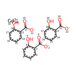 O=C([O-])c1ccccc1O.O=C([O-])c1ccccc1O.O=C([O-])c1ccccc1O.[Gd+3]